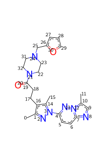 Cc1nn(-c2ccc3ncc(C)n3n2)c(C)c1CCC(=O)N1CCN(Cc2ccco2)CC1